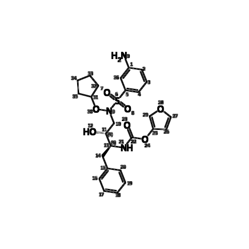 Nc1cccc(S(=O)(=O)N(C[C@@H](O)[C@H](Cc2ccccc2)NC(=O)Oc2ccoc2)OC2CCCC2)c1